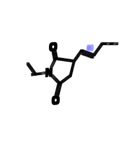 C[CH]N1C(=O)CC(/C=C/CC)C1=O